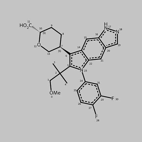 COCC(C)(C)c1c([C@@H]2CC[C@@H](C(=O)O)OC2)c2cc3[nH]ncc3cc2n1-c1ccc(F)c(F)c1